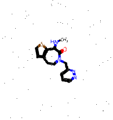 CNC1C(=O)N(Cc2cccnn2)CCc2ccsc21